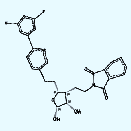 O=C1c2ccccc2C(=O)N1CC[C@@H]1[C@H](O)[C@H](O)O[C@@H]1CCc1ccc(-c2cc(F)cc(F)c2)cc1